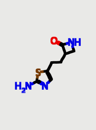 Nc1ncc(CCC2CNC2=O)s1